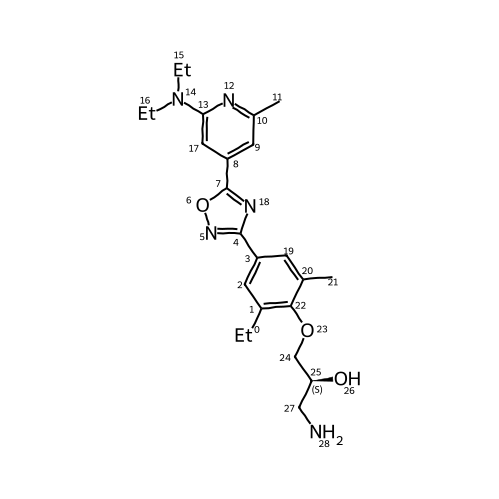 CCc1cc(-c2noc(-c3cc(C)nc(N(CC)CC)c3)n2)cc(C)c1OC[C@@H](O)CN